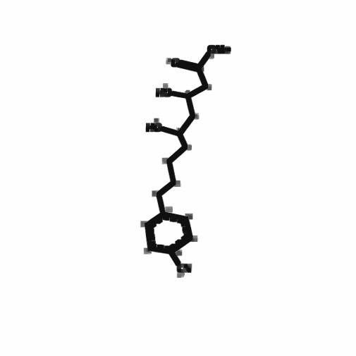 COC(=O)CC(O)CC(O)CCCCc1ccc(C#N)cc1